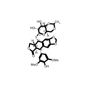 COc1cc([C@H]2c3cc4c(cc3[C@@H](S[C@@H]3O[C@@H]5COC(C)O[C@H]5[C@H](O)[C@H]3O)[C@H]3COC(=O)[C@H]23)OCO4)cc(OC)c1O